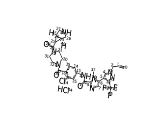 C#CCn1cc(-c2cnc(C(=O)Nc3ccc(C(=O)N4CCN(C(=O)C5[C@H]6CNC[C@@H]56)CC4)c(Cl)c3)n2C)c(C(F)(F)F)n1.Cl